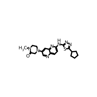 CN1CCN(c2cnc3ccc(Nc4nnc(C5CCCC5)s4)nc3c2)CC1=O